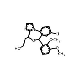 COc1cccc(C2OC(CCO)c3nccn3-c3ccc(Cl)cc32)c1OC